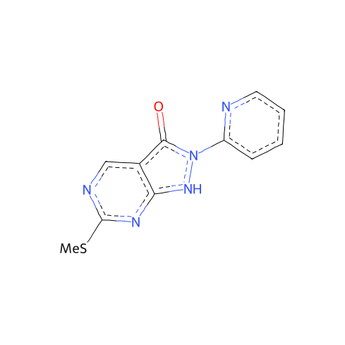 CSc1ncc2c(=O)n(-c3ccccn3)[nH]c2n1